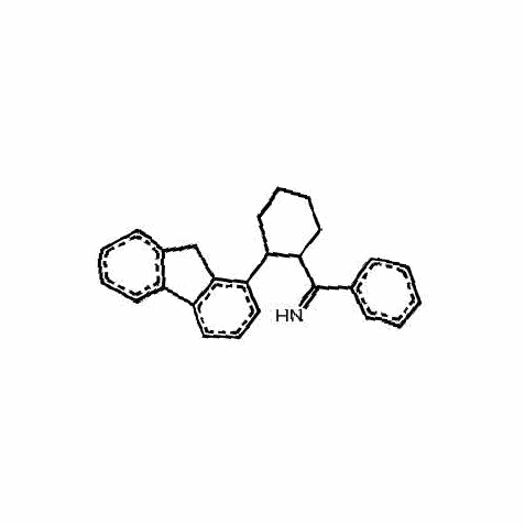 N=C(c1ccccc1)C1CCCCC1c1cccc2c1Cc1ccccc1-2